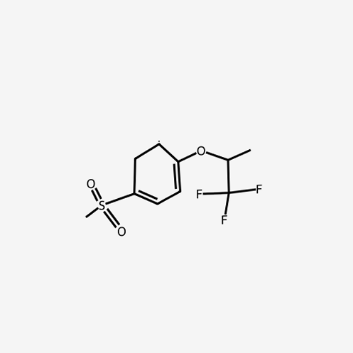 CC(OC1=CC=C(S(C)(=O)=O)C[CH]1)C(F)(F)F